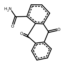 NC(=O)c1cccc2c1C(=O)c1ccccc1C2=O